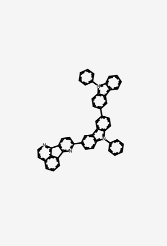 c1ccc(-n2c3ccccc3c3cc(-c4ccc5c(c4)c4cc(-c6ccc7c(n6)-c6cccc8ccnc-7c68)ccc4n5-c4ccccc4)ccc32)cc1